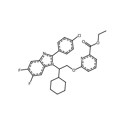 CCOC(=O)c1cccc(OCC(C2CCCCC2)n2c(-c3ccc(Cl)cc3)nc3cc(F)c(F)cc32)n1